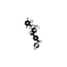 C[C@@H](Oc1c(N)ncc2c(-c3ccc(C(=O)N4CCN(C)CC4)cc3)coc12)c1c(F)ccc(F)c1Cl